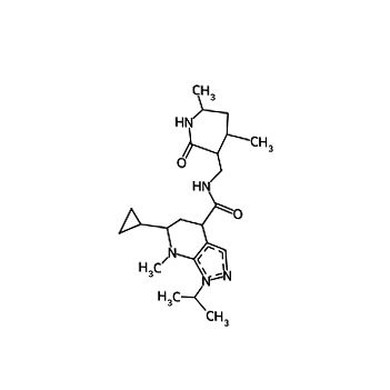 CC1CC(C)C(CNC(=O)C2CC(C3CC3)N(C)c3c2cnn3C(C)C)C(=O)N1